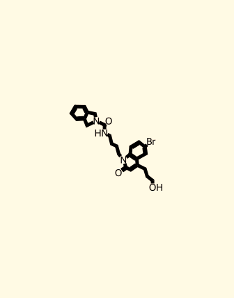 O=C(NCCCCn1c(=O)cc(CCCO)c2cc(Br)ccc21)N1Cc2ccccc2C1